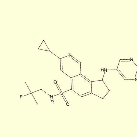 CC(C)(F)CNS(=O)(=O)c1cc2c(c3cnc(C4CC4)cc13)C(Nc1cncnc1)CC2